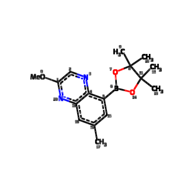 COc1cnc2c(B3OC(C)(C)C(C)(C)O3)cc(C)cc2n1